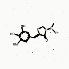 CC(C)N(C)N1CS/C(=C\c2cc(C(C)(C)C)c(O)c(C(C)(C)C)c2)C1=O